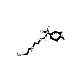 CNCCNCCNOS(=O)(=O)c1ccc(C)cc1